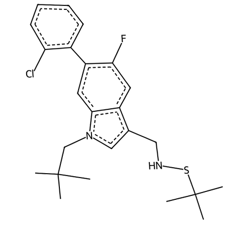 CC(C)(C)Cn1cc(CNSC(C)(C)C)c2cc(F)c(-c3ccccc3Cl)cc21